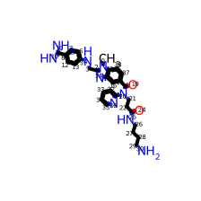 Cn1c(CNc2ccc(C(=N)N)cc2)nc2cc(C(=O)N(CCC(=O)NCCCCN)c3ccccn3)ccc21